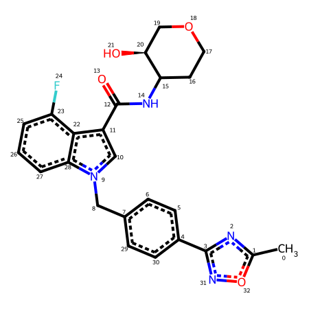 Cc1nc(-c2ccc(Cn3cc(C(=O)NC4CCOC[C@@H]4O)c4c(F)cccc43)cc2)no1